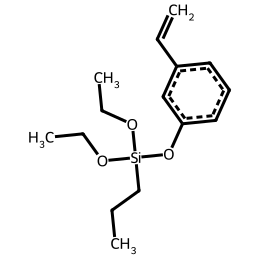 C=Cc1cccc(O[Si](CCC)(OCC)OCC)c1